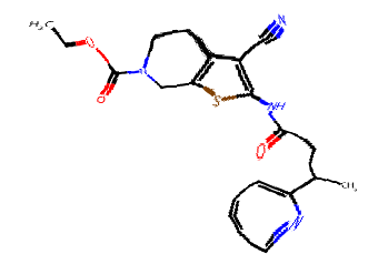 CCOC(=O)N1CCc2c(sc(NC(=O)CC(C)c3ccccn3)c2C#N)C1